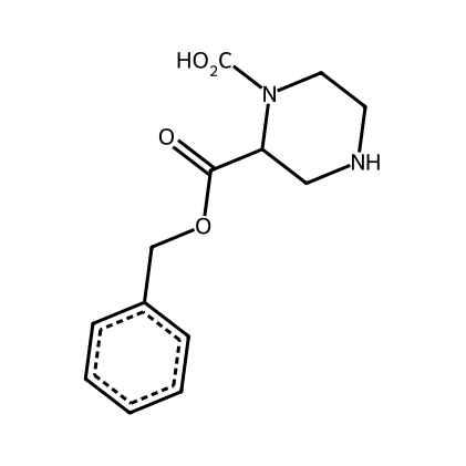 O=C(OCc1ccccc1)C1CNCCN1C(=O)O